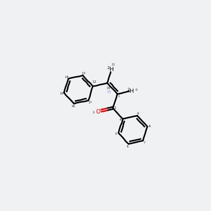 [2H]/C(C(=O)c1ccccc1)=C(\[2H])c1ccccc1